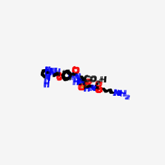 NCCCCOC(=O)NCCS(=O)(=O)N[C@@H](CNC(=O)c1ccc(OCCNC2=NCCCN2)cc1)C(=O)O